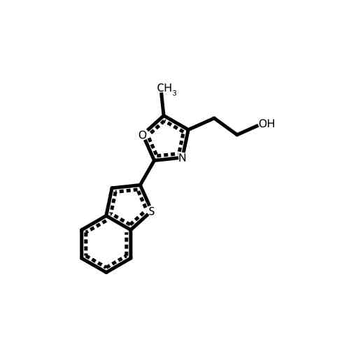 Cc1oc(-c2cc3ccccc3s2)nc1CCO